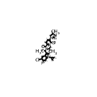 Cc1cn(-c2ccc3n(c2=O)CC(C)N(C(C)c2cn(C4CC4)c4cc(F)c(Cl)cc24)C3=O)cn1